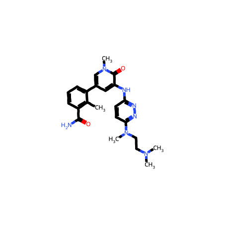 Cc1c(C(N)=O)cccc1-c1cc(Nc2ccc(N(C)CCN(C)C)nn2)c(=O)n(C)c1